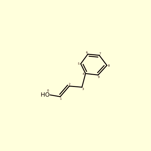 O/C=C/Cc1ccccc1